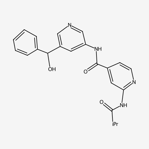 CC(C)C(=O)Nc1cc(C(=O)Nc2cncc(C(O)c3ccccc3)c2)ccn1